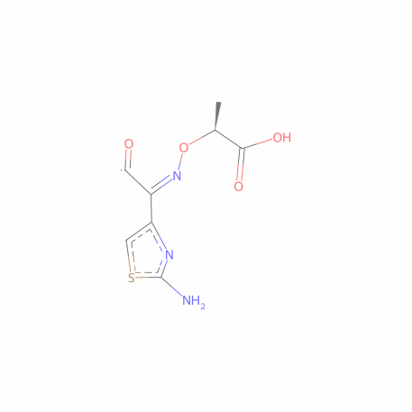 C[C@H](O/N=C(\[C]=O)c1csc(N)n1)C(=O)O